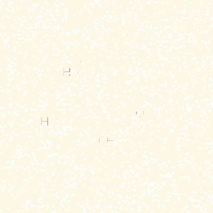 [C]OCC(C)C(C)C